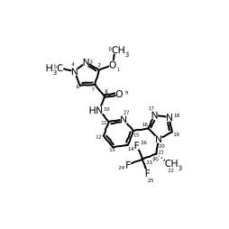 COc1nn(C)cc1C(=O)Nc1cccc(-c2nncn2[C@H](C)C(F)(F)F)n1